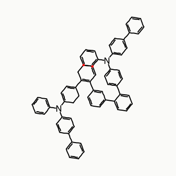 C1=CC(c2cccc(-c3ccccc3-c3ccc(N(c4ccccc4)c4ccc(-c5ccccc5)cc4)cc3)c2)=C(C2=CC=C(N(c3ccccc3)c3ccc(-c4ccccc4)cc3)CC2)CC1